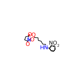 O=C(CCCCCNc1ccccc1[N+](=O)[O-])ON1C(=O)CCC1=O